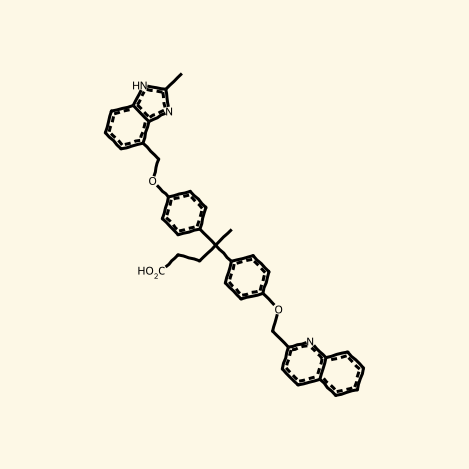 Cc1nc2c(COc3ccc(C(C)(CCC(=O)O)c4ccc(OCc5ccc6ccccc6n5)cc4)cc3)cccc2[nH]1